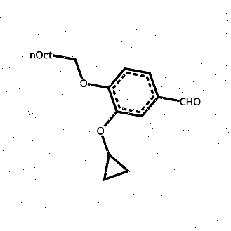 CCCCCCCCCOc1ccc(C=O)cc1OC1CC1